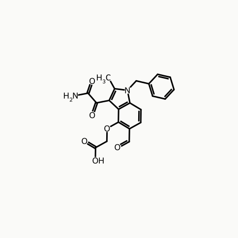 Cc1c(C(=O)C(N)=O)c2c(OCC(=O)O)c(C=O)ccc2n1Cc1ccccc1